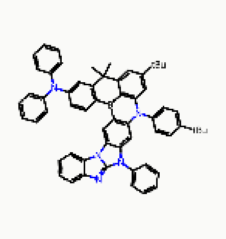 CC(C)(C)c1ccc(N2c3cc4c(cc3B3c5ccc(N(c6ccccc6)c6ccccc6)cc5C(C)(C)c5cc(C(C)(C)C)cc2c53)n2c3ccccc3nc2n4-c2ccccc2)cc1